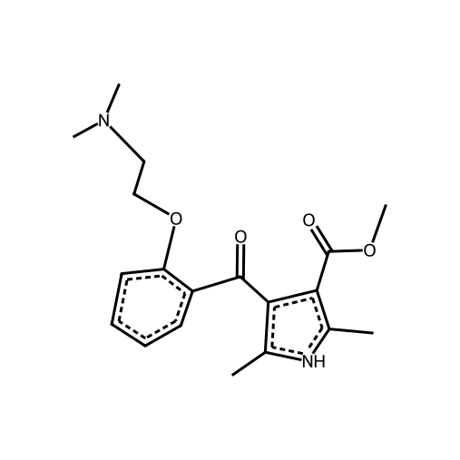 COC(=O)c1c(C)[nH]c(C)c1C(=O)c1ccccc1OCCN(C)C